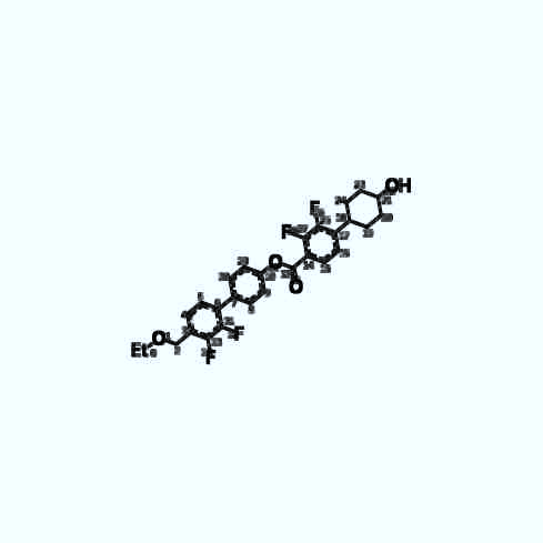 CCOCc1ccc(-c2ccc(OC(=O)c3ccc(C4CCC(O)CC4)c(F)c3F)cc2)c(F)c1F